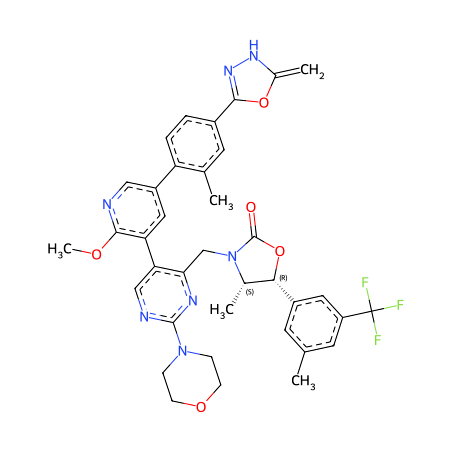 C=C1NN=C(c2ccc(-c3cnc(OC)c(-c4cnc(N5CCOCC5)nc4CN4C(=O)O[C@H](c5cc(C)cc(C(F)(F)F)c5)[C@@H]4C)c3)c(C)c2)O1